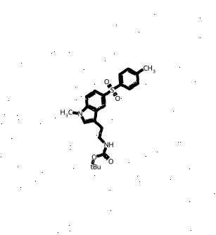 Cc1ccc(S(=O)(=O)c2ccc3c(c2)c(CCNC(=O)OC(C)(C)C)cn3C)cc1